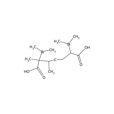 CC(CC[CH](C(=O)O)[Bi]([CH3])[CH3])[C](C)(C(=O)O)[Bi]([CH3])[CH3]